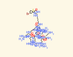 N=C(N)NCCCC(NC(=O)[C@@H](CCCNC(=N)N)NC(=O)CCCCCNC(=O)[C@@H](CCCNC(=N)N)NC(=O)CCCCCNCc1nc2c(sc3ccc(Br)cc32)c(=O)[nH]1)C(=O)N[C@H](CCCNC(=N)N)C(=O)NC(CCCNC(=N)N)C(=O)N[C@H](CCCNC(=N)N)C(=O)NC(CCCNC(=N)N)C(=O)N[C@H](CCCCN)C(N)=O